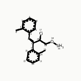 Cc1ccccc1C=C(c1ccccc1C)C(Cl)CO[SiH3]